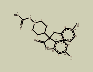 CC(C)(C)C(=O)ON1CCC(C2(Cc3cccc(Cl)c3)C(=O)Nc3cc(Cl)ccc32)CC1